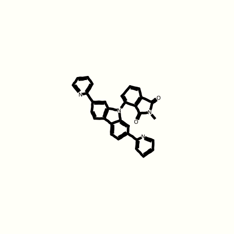 CN1C(=O)c2cccc(-n3c4cc(-c5ccccn5)ccc4c4ccc(-c5ccccn5)cc43)c2C1=O